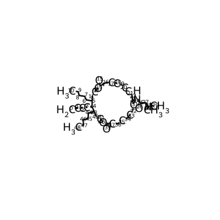 C=C=C=C=C1C(CCCCC)CCOC(=O)CCCCCCCC(NC(=O)CN(C)C)CCCCCCCC(=O)OCCC1CCCCC